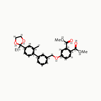 CCC1(c2ccc(-c3cccc(COc4ccc(C(=O)OC)c(C(=O)OC)c4)c3)c(C)c2)OCCO1